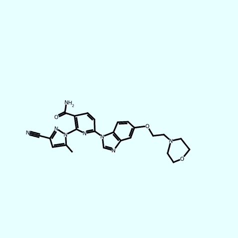 Cc1cc(C#N)nn1-c1nc(-n2cnc3cc(OCCN4CCOCC4)ccc32)ccc1C(N)=O